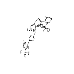 Cc1cccc(S(C)(=O)=O)c1C1=NCC2=CNN(Cc3ccc(-c4nc(C(F)(F)F)cn4C)cc3)C2=N1